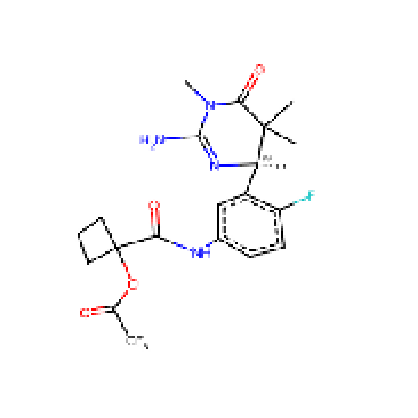 CN1C(=O)C(C)(C)[C@@](C)(c2cc(NC(=O)C3(OC(=O)C(F)(F)F)CCC3)ccc2F)N=C1N